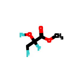 COC(=O)C(F)(CF)OF